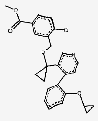 COC(=O)c1ccc(Cl)c(COC2(c3cnccc3-c3ccccc3OC3CC3)CC2)c1